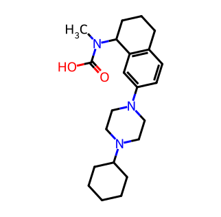 CN(C(=O)O)C1CCCc2ccc(N3CCN(C4CCCCC4)CC3)cc21